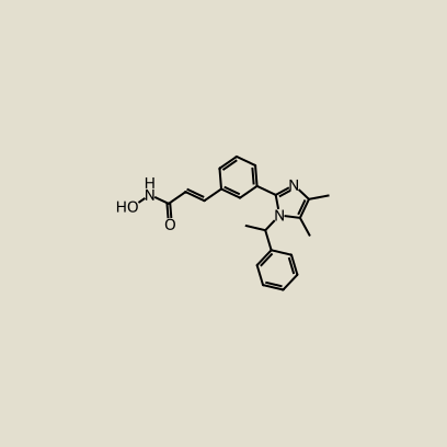 Cc1nc(-c2cccc(C=CC(=O)NO)c2)n(C(C)c2ccccc2)c1C